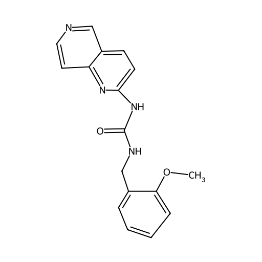 COc1ccccc1CNC(=O)Nc1ccc2cnccc2n1